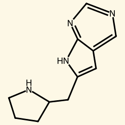 c1ncc2cc(CC3CCCN3)[nH]c2n1